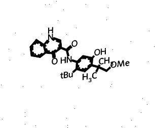 COCC(C)(C)c1cc(C(C)(C)C)c(NC(=O)c2c[nH]c3ccccc3c2=O)cc1O